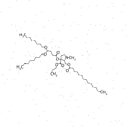 CCCCCCCCCCCCCC(=O)OCC1N(C)CCC1(OC(=O)CCC(OCCCCCCCC)OCCCCCCCC)C(=O)OCCC